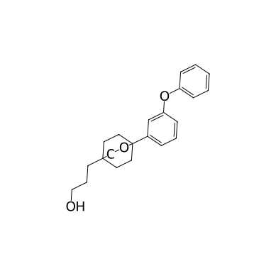 OCCCC12CCC(c3cccc(Oc4ccccc4)c3)(CC1)OC2